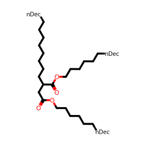 CCCCCCCCCCCCCCCCCCC(CC(=O)OCCCCCCCCCCCCCCCC)C(=O)OCCCCCCCCCCCCCCCC